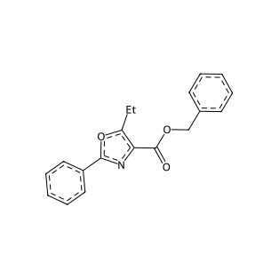 CCc1oc(-c2ccccc2)nc1C(=O)OCc1ccccc1